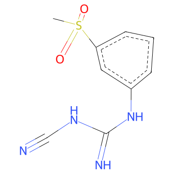 CS(=O)(=O)c1cccc(NC(=N)NC#N)c1